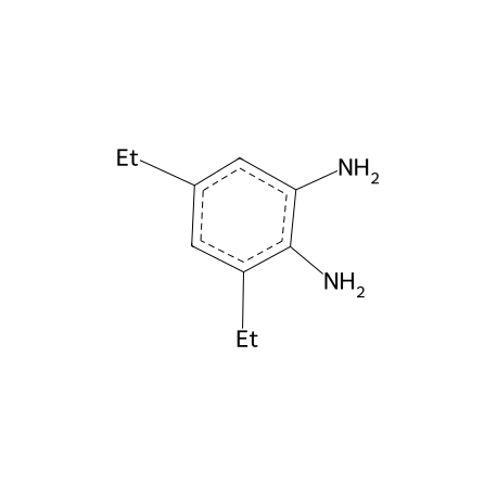 CCc1cc(N)c(N)c(CC)c1